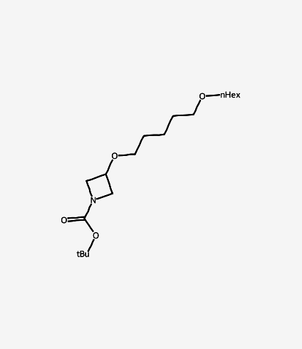 CCCCCCOCCCCCOC1CN(C(=O)OC(C)(C)C)C1